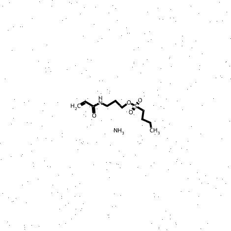 C=CC(=O)NCCCOS(=O)(=O)CCCC.N